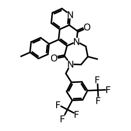 Cc1ccc(-c2c3n(c(=O)c4ncccc24)CC(C)CN(Cc2cc(C(F)(F)F)cc(C(F)(F)F)c2)C3=O)cc1